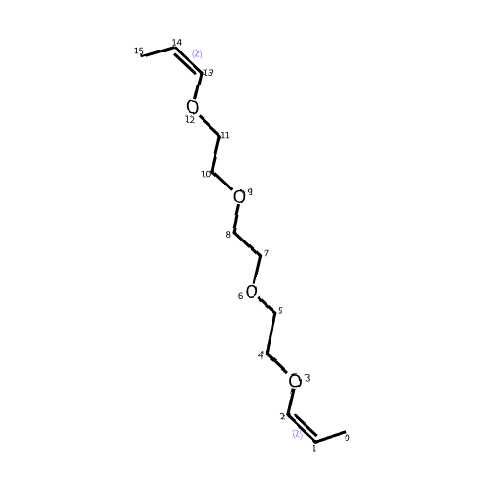 C/C=C\OCCOCCOCCO/C=C\C